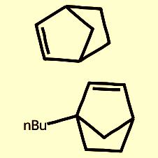 C1=CC2CCC1C2.CCCCC12C=CC(CC1)C2